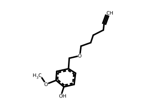 C#CCCCCOCc1ccc(O)c(OC)c1